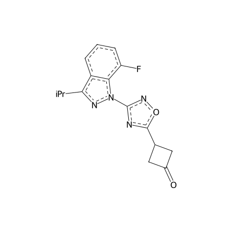 CC(C)c1nn(-c2noc(C3CC(=O)C3)n2)c2c(F)cccc12